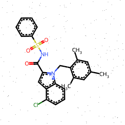 Cc1cc(C)c(Cn2c(C(=O)NS(=O)(=O)c3ccccc3)cc3c(Cl)cccc32)c(C)c1